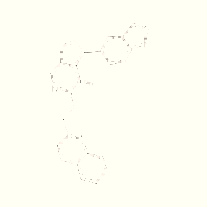 O=c1c2c(-c3ccc4[nH]ncc4c3)csc2cnn1CCc1ccc2ccccc2n1